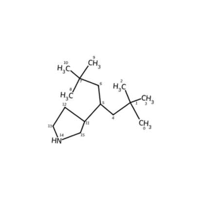 CC(C)(C)CC(CC(C)(C)C)C1CCNC1